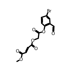 COC(=O)C=CC(=O)OCC(=O)Oc1ccc(Br)cc1C=O